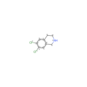 Clc1cc2c(cc1Cl)CNCC2